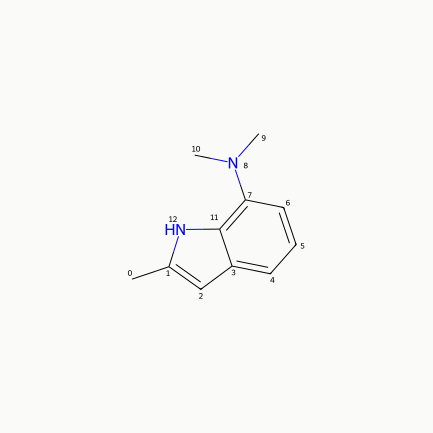 Cc1cc2cccc(N(C)C)c2[nH]1